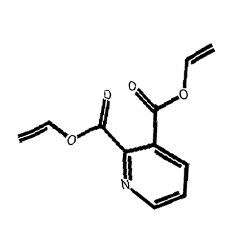 C=COC(=O)c1cccnc1C(=O)OC=C